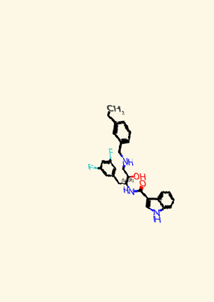 CCc1cccc(CNC[C@@H](O)[C@H](Cc2cc(F)cc(F)c2)NC(=O)c2c[nH]c3ccccc23)c1